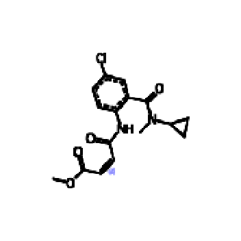 COC(=O)/C=C\C(=O)Nc1ccc(Cl)cc1C(=O)N(C)C1CC1